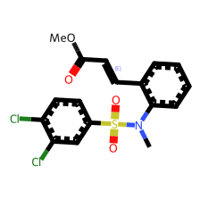 COC(=O)/C=C/c1ccccc1N(C)S(=O)(=O)c1ccc(Cl)c(Cl)c1